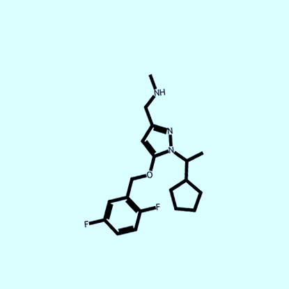 CNCc1cc(OCc2cc(F)ccc2F)n(C(C)C2CCCC2)n1